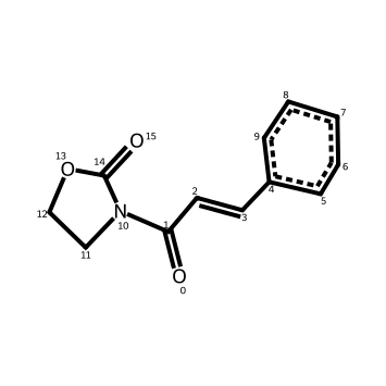 O=C(C=Cc1ccccc1)N1CCOC1=O